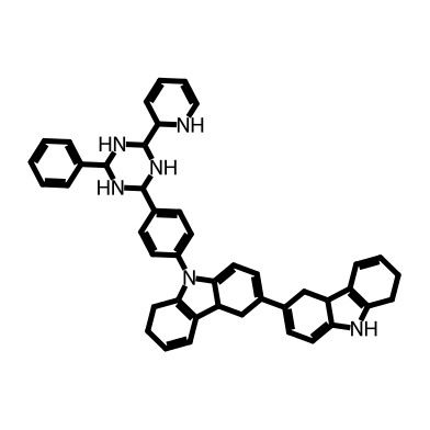 C1=CNC(C2NC(c3ccccc3)NC(c3ccc(N4C5=CC=C(C6=CC=C7NC8=C(C=CCC8)C7C6)CC5C5=C4CCC=C5)cc3)N2)C=C1